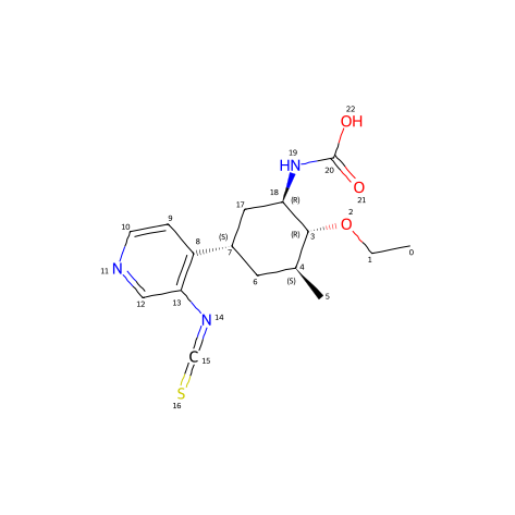 CCO[C@@H]1[C@@H](C)C[C@H](c2ccncc2N=C=S)C[C@H]1NC(=O)O